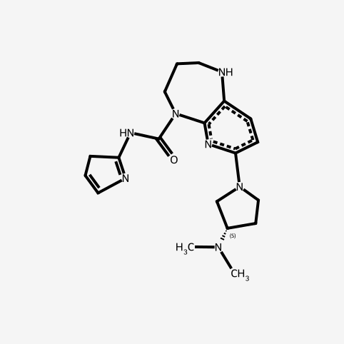 CN(C)[C@H]1CCN(c2ccc3c(n2)N(C(=O)NC2=NC=CC2)CCCN3)C1